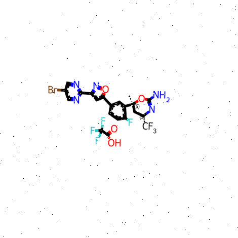 C[C@@]1(c2cc(-c3cc(-c4ncc(Br)cn4)no3)ccc2F)C[C@@H](C(F)(F)F)N=C(N)O1.O=C(O)C(F)(F)F